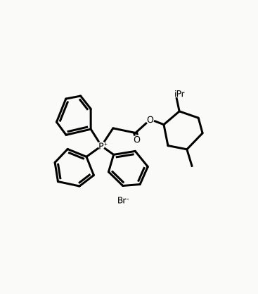 CC1CCC(C(C)C)C(OC(=O)C[P+](c2ccccc2)(c2ccccc2)c2ccccc2)C1.[Br-]